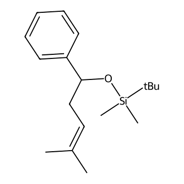 CC(C)=CCC(O[Si](C)(C)C(C)(C)C)c1ccccc1